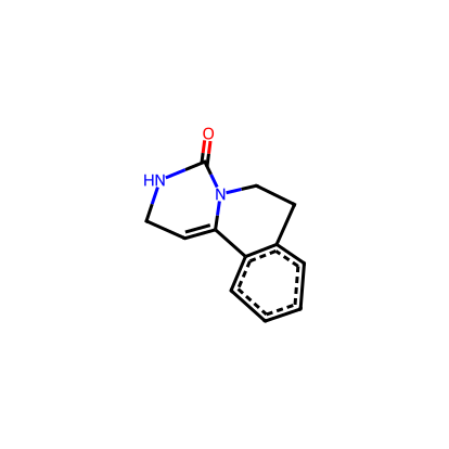 O=C1NCC=C2c3ccccc3CCN12